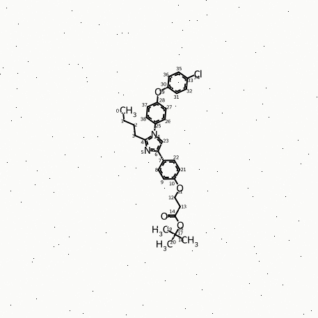 CCCCc1nc(-c2ccc(OCCC(=O)OC(C)(C)C)cc2)cn1-c1ccc(Oc2ccc(Cl)cc2)cc1